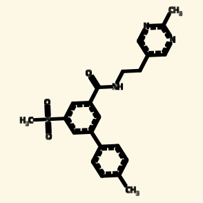 Cc1ccc(-c2cc(C(=O)NCCc3cnc(C)nc3)cc(S(C)(=O)=O)c2)cc1